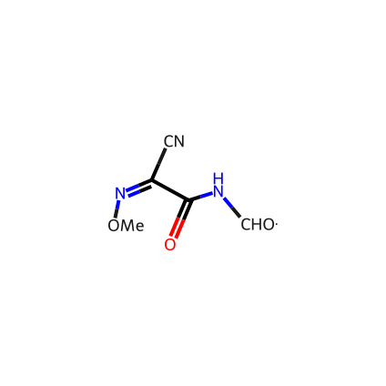 CON=C(C#N)C(=O)N[C]=O